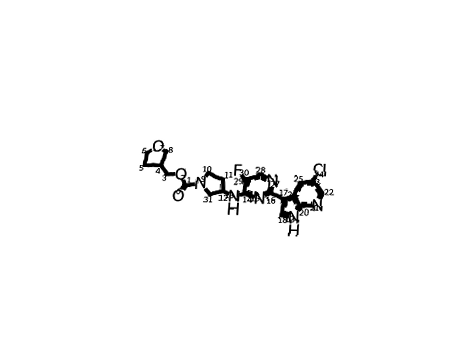 O=C(OCC1CCOC1)N1CCC(Nc2nc(-c3c[nH]c4ncc(Cl)cc34)ncc2F)C1